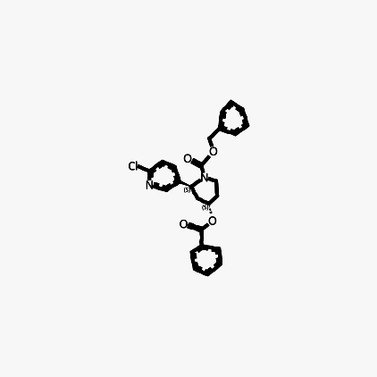 O=C(O[C@H]1CCN(C(=O)OCc2ccccc2)[C@H](c2ccc(Cl)nc2)C1)c1ccccc1